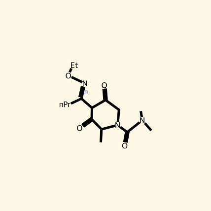 CCC/C(=N\OCC)C1C(=O)CN(C(=O)N(C)C)C(C)C1=O